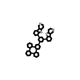 c1ccc2c(c1)-c1ccccc1-c1ccc(-c3cc(-c4cccc5c4sc4ccncc45)cc(-c4cccc5c4sc4ccncc45)c3)cc1-c1ccccc1-2